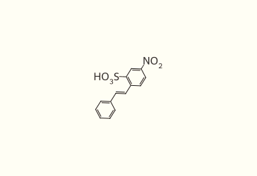 O=[N+]([O-])c1ccc(C=Cc2ccccc2)c(S(=O)(=O)O)c1